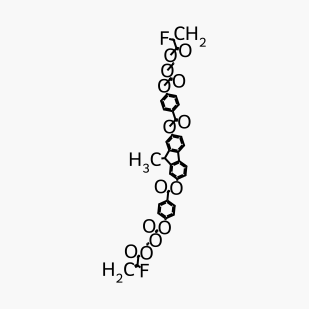 C=C(F)C(=O)OCOC(=O)Oc1ccc(C(=O)Oc2ccc3c(c2)C(C)c2cc(OC(=O)c4ccc(OC(=O)OCOC(=O)C(=C)F)cc4)ccc2-3)cc1